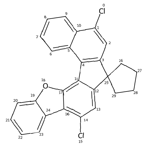 Clc1cc2c(c3ccccc13)-c1c(cc(Cl)c3c1oc1ccccc13)C21CCCC1